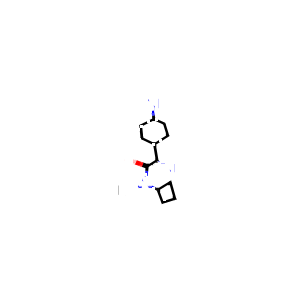 CN(C(=O)[C@@H](N)C1CCC(N)CC1)C1CCC1